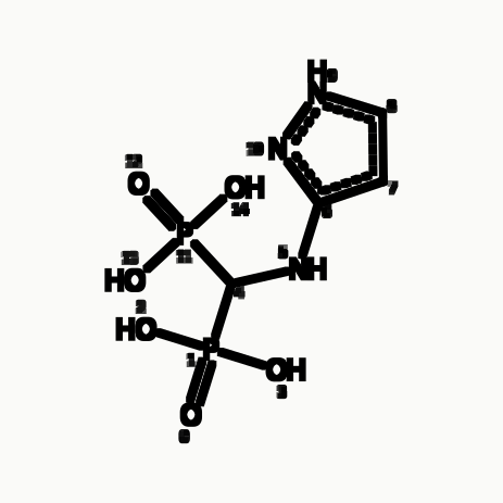 O=P(O)(O)C(Nc1cc[nH]n1)P(=O)(O)O